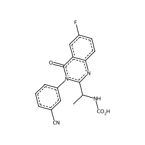 CC(NC(=O)O)c1nc2ccc(F)cc2c(=O)n1-c1cccc(C#N)c1